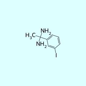 CC(N)(N)c1cccc(I)c1